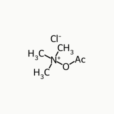 CC(=O)O[N+](C)(C)C.[Cl-]